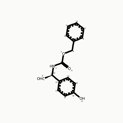 O=C[C@@H](NC(=O)OCc1ccccc1)c1ccc(O)cc1